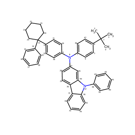 CC(C)(C)c1ccc(N(c2ccc(C3(c4ccccc4)CCCCC3)cc2)c2ccc3c4ccccc4n(-c4ccccc4)c3c2)cc1